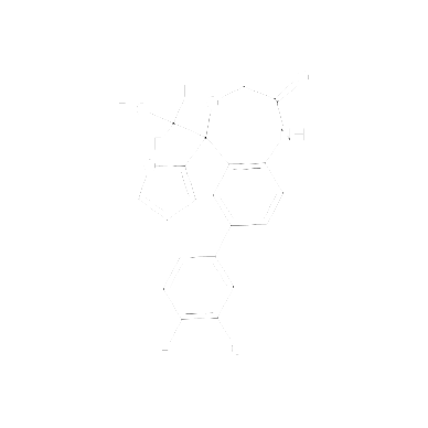 O=C1COC(c2ccco2)(C(F)(F)C(F)(F)F)c2cc(-c3ccc(F)c(Cl)c3)ccc2N1